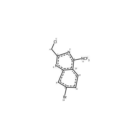 FC(F)(F)Nc1nc(CCl)nc2cc(Br)ccc12